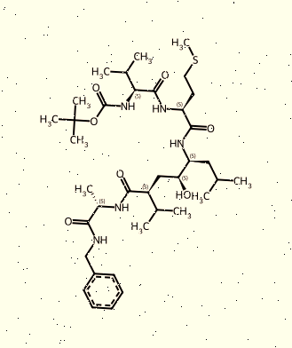 CSCC[C@H](NC(=O)[C@@H](NC(=O)OC(C)(C)C)C(C)C)C(=O)N[C@@H](CC(C)C)[C@@H](O)C[C@H](C(=O)N[C@@H](C)C(=O)NCc1ccccc1)C(C)C